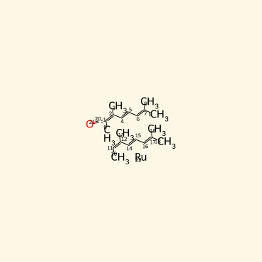 CC=C(C)C=CC=C(C)C.CC=C(C)C=CC=C(C)C.[C]=O.[Ru]